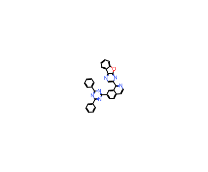 c1ccc(-c2nc(-c3ccccc3)nc(-c3ccc4ccnc(-c5cnc6c(n5)oc5ccccc56)c4c3)n2)cc1